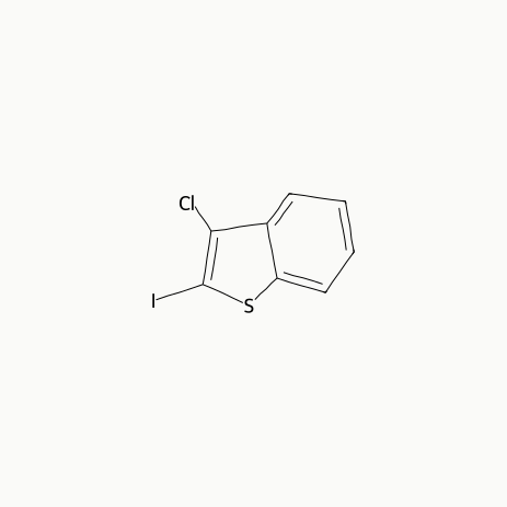 Clc1c(I)sc2ccccc12